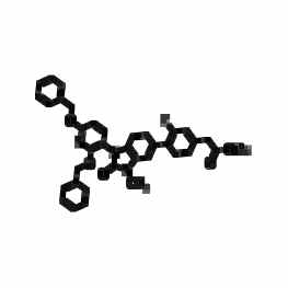 CC(C)COC(=O)Cc1ccc(-c2ccc3c(c2)n(C)c(=O)n3-c2ccc(OCc3ccccc3)nc2OCc2ccccc2)c(F)c1